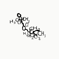 C=CC1=C(/C=C\C)P(C)C(/C=C/C2CCC/C(=C\C=C3/N(C)c4ccccc4C3(C)C)[C@H]2Cl)C1(C)C